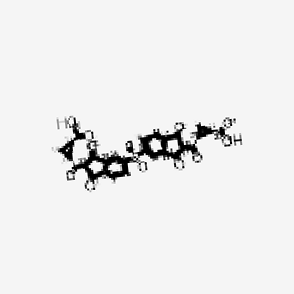 O=C1c2ccc(S(=O)(=O)c3ccc4c(c3)C(=O)C(C(=O)[C@@H]3C[C@H]3C(=O)O)C4=O)cc2C(=O)C1C(=O)[C@@H]1C[C@H]1C(=O)O